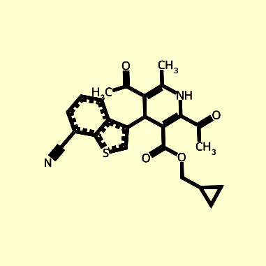 CC(=O)C1=C(C(=O)OCC2CC2)C(c2csc3c(C#N)cccc23)C(C(C)=O)=C(C)N1